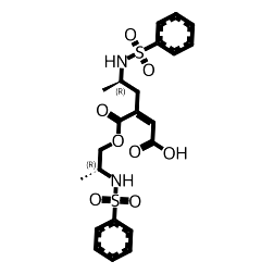 C[C@H](COC(=O)C(=CC(=O)O)C[C@@H](C)NS(=O)(=O)c1ccccc1)NS(=O)(=O)c1ccccc1